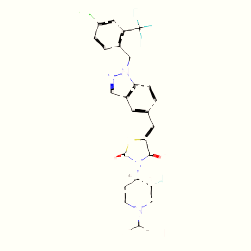 CC(C)N1CC[C@@H](N2C(=O)SC(=Cc3ccc4c(cnn4Cc4ccc(Cl)cc4C(F)(F)F)c3)C2=O)[C@@H](F)C1